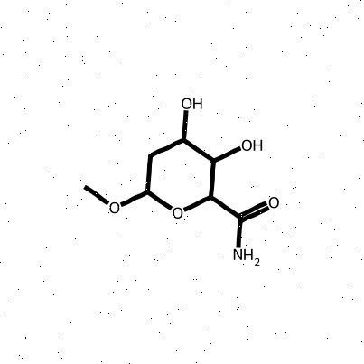 COC1CC(O)C(O)C(C(N)=O)O1